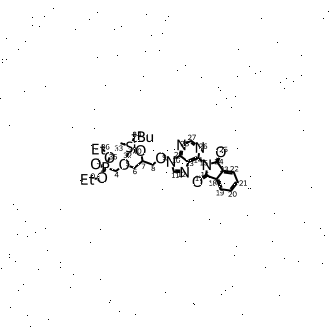 CCOP(=O)(COCC(COn1cnc2c(N3C(=O)c4ccccc4C3=O)ncnc21)O[Si](C)(C)C(C)(C)C)OCC